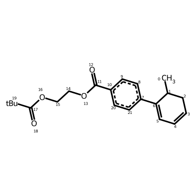 CC1CC=CC=C1c1ccc(C(=O)OCCOC(=O)C(C)(C)C)cc1